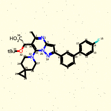 Cc1nc2cc(-c3cccc(-c4ccc(F)cc4)c3)nn2c(N2CCC3(CC2)CC3)c1[C@H](OC(C)(C)C)C(=O)O